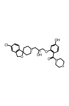 O=C(c1ccc(O)cc1OC[C@@H](O)CN1CCC2(CC1)OCc1cc(Cl)ccc12)N1CCSCC1